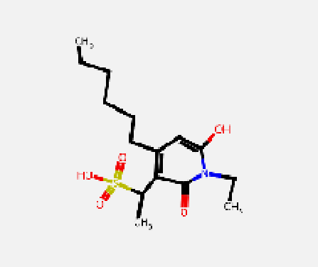 CCCCCCc1cc(O)n(CC)c(=O)c1C(C)S(=O)(=O)O